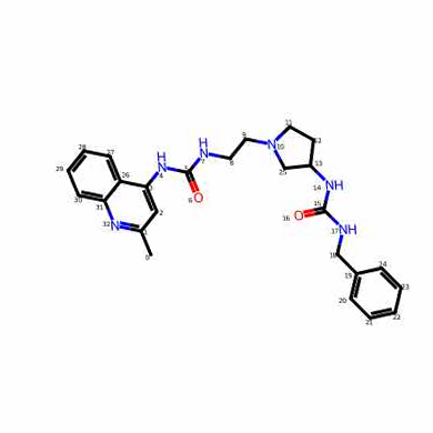 Cc1cc(NC(=O)NCCN2CCC(NC(=O)NCc3ccccc3)C2)c2ccccc2n1